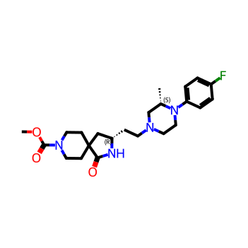 COC(=O)N1CCC2(CC1)C[C@H](CCN1CCN(c3ccc(F)cc3)[C@@H](C)C1)NC2=O